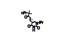 CCCC(C)(C)C(=O)/C=C/c1cn(C(C)C)c(=O)[nH]c1=O